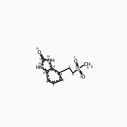 CS(=O)(=O)CCc1cccc2[nH]c(=O)[nH]c12